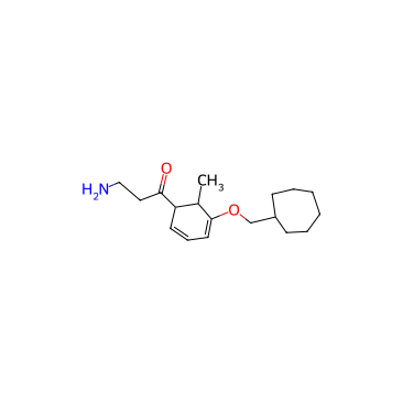 CC1C(OCC2CCCCCC2)=CC=CC1C(=O)CCN